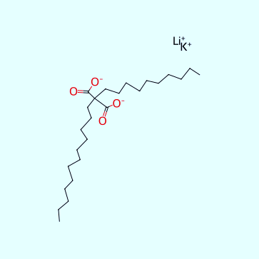 CCCCCCCCCCCCC(CCCCCCCCCC)(C(=O)[O-])C(=O)[O-].[K+].[Li+]